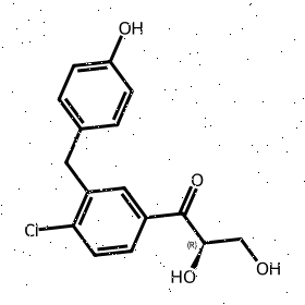 O=C(c1ccc(Cl)c(Cc2ccc(O)cc2)c1)[C@H](O)CO